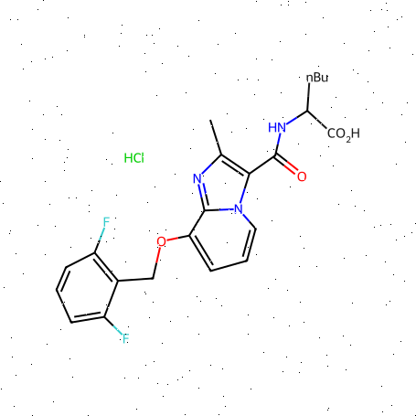 CCCCC(NC(=O)c1c(C)nc2c(OCc3c(F)cccc3F)cccn12)C(=O)O.Cl